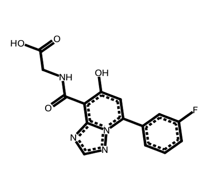 O=C(O)CNC(=O)c1c(O)cc(-c2cccc(F)c2)n2ncnc12